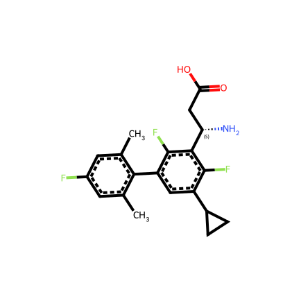 Cc1cc(F)cc(C)c1-c1cc(C2CC2)c(F)c([C@@H](N)CC(=O)O)c1F